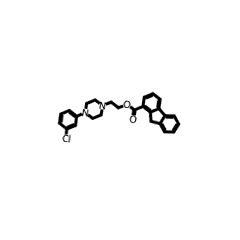 O=C(OCCN1CCN(c2cccc(Cl)c2)CC1)c1cccc2c1Cc1ccccc1-2